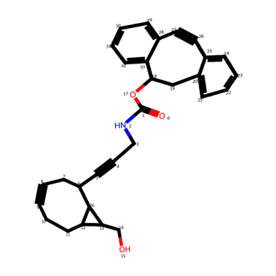 O=C(NCC#CC1CC#CCCC2C(CO)C12)OC1Cc2ccccc2C#Cc2ccccc21